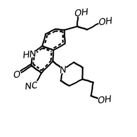 N#Cc1c(N2CCC(CCO)CC2)c2cc(C(O)CO)ccc2[nH]c1=O